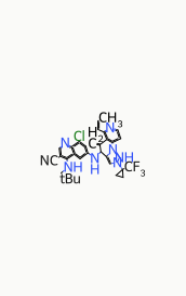 C=C1c2c(ccnc2/C=C\C)N2NN(C3(C(F)(F)F)CC3)C=C2[C@H]1Nc1cc(Cl)c2ncc(C#N)c(NCC(C)(C)C)c2c1